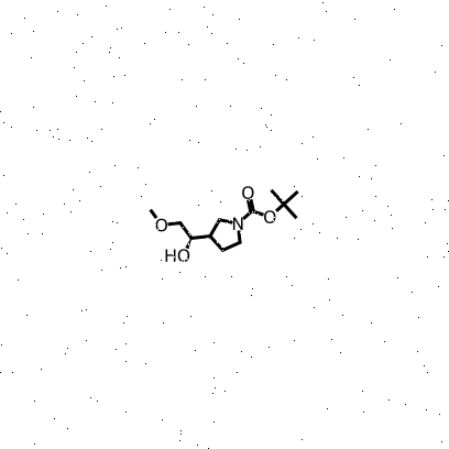 COC[C@H](O)C1CCN(C(=O)OC(C)(C)C)C1